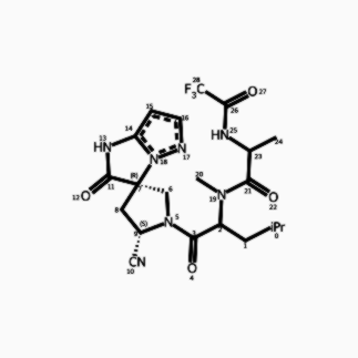 CC(C)CC(C(=O)N1C[C@]2(C[C@H]1C#N)C(=O)Nc1ccnn12)N(C)C(=O)C(C)NC(=O)C(F)(F)F